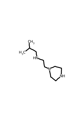 CC(C)CNCCN1CCNCC1